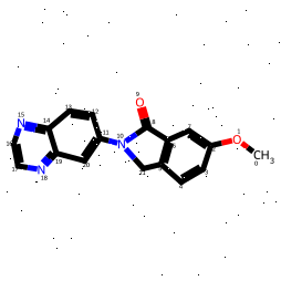 COc1ccc2c(c1)C(=O)N(c1ccc3nccnc3c1)C2